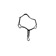 O=C1O[CH]CCO1